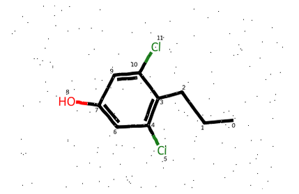 CCCc1c(Cl)cc(O)cc1Cl